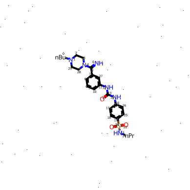 CCCCN1CCN(C(=N)c2cccc(NC(=O)Nc3ccc(S(=O)(=O)NCCC)cc3)c2)CC1